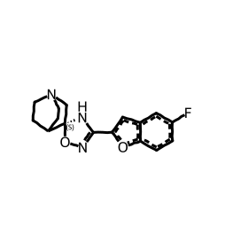 Fc1ccc2oc(C3=NO[C@@]4(CN5CCC4CC5)N3)cc2c1